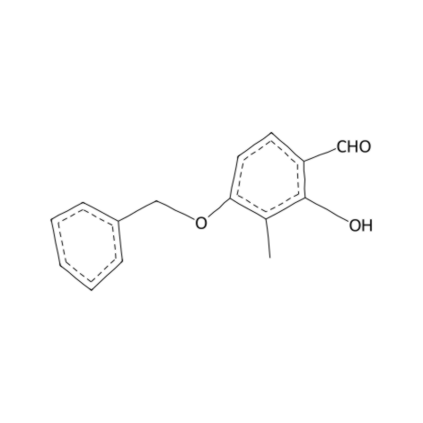 Cc1c(OCc2ccccc2)ccc(C=O)c1O